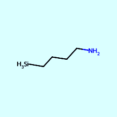 NCCCC[SiH3]